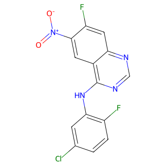 O=[N+]([O-])c1cc2c(Nc3cc(Cl)ccc3F)ncnc2cc1F